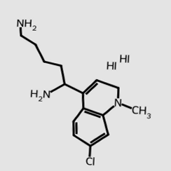 CN1CC=C(C(N)CCCCN)c2ccc(Cl)cc21.I.I